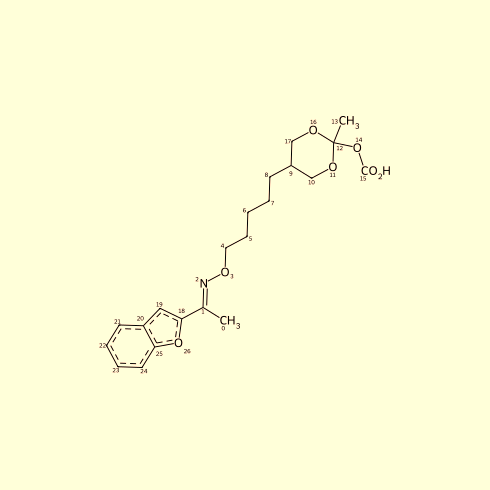 CC(=NOCCCCCC1COC(C)(OC(=O)O)OC1)c1cc2ccccc2o1